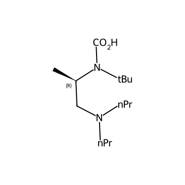 CCCN(CCC)C[C@@H](C)N(C(=O)O)C(C)(C)C